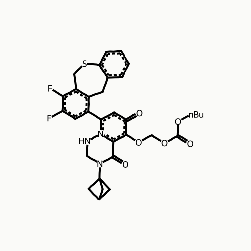 CCCCOC(=O)OCOc1c2n(c(-c3cc(F)c(F)c4c3Cc3ccccc3SC4)cc1=O)NCN(C13CC(C1)C3)C2=O